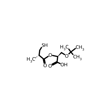 C[C@H](CS)C(=O)O[C@@H](COC(C)(C)C)C(=O)O